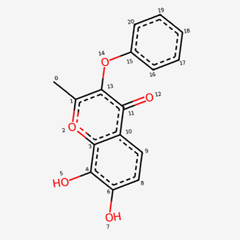 Cc1oc2c(O)c(O)ccc2c(=O)c1Oc1ccccc1